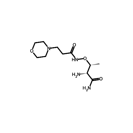 C[C@@H](ONC(=O)CCN1CCOCC1)[C@@H](N)C(N)=O